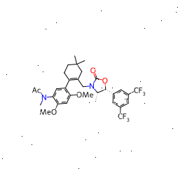 COc1cc(OC)c(N(C)C(C)=O)cc1C1=C(CN2C(=O)O[C@H](c3cc(C(F)(F)F)cc(C(F)(F)F)c3)[C@@H]2C)CC(C)(C)CC1